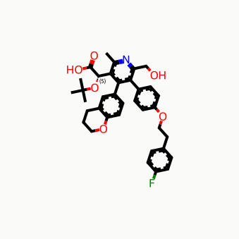 Cc1nc(CO)c(-c2ccc(OCCc3ccc(F)cc3)cc2)c(-c2ccc3c(c2)CCCO3)c1[C@H](OC(C)(C)C)C(=O)O